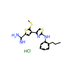 CCCc1ccccc1Nc1nc(-c2cc(C(=N)N)sc2SC)cs1.Cl